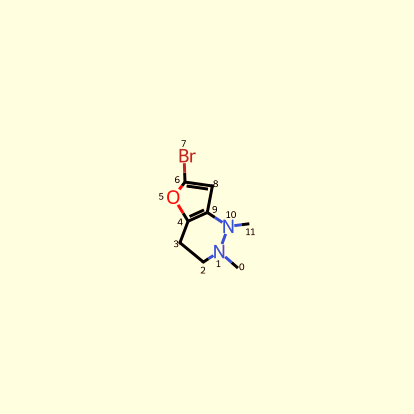 CN1CCc2oc(Br)cc2N1C